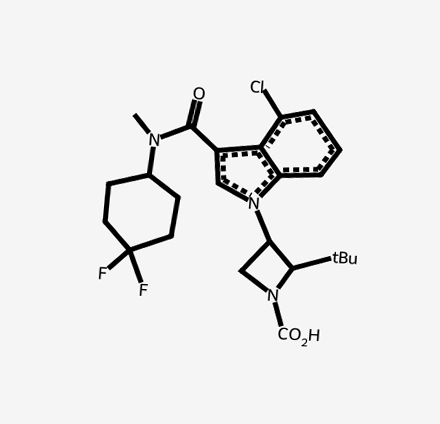 CN(C(=O)c1cn(C2CN(C(=O)O)C2C(C)(C)C)c2cccc(Cl)c12)C1CCC(F)(F)CC1